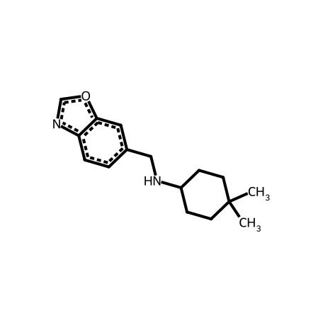 CC1(C)CCC(NCc2ccc3ncoc3c2)CC1